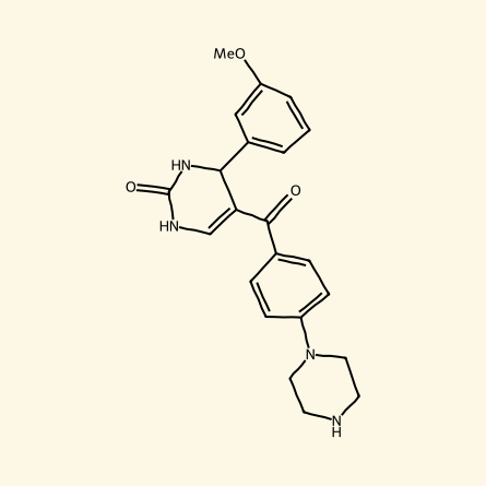 COc1cccc(C2NC(=O)NC=C2C(=O)c2ccc(N3CCNCC3)cc2)c1